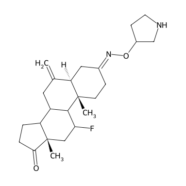 C=C1CC2C3CCC(=O)[C@@]3(C)CC(F)C2[C@@]2(C)CCC(=NOC3CCNC3)C[C@H]12